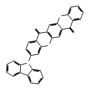 O=c1c2ccccc2oc2cc3c(=O)c4ccc(-n5c6ccccc6c6ccccc65)cc4sc3cc12